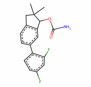 CC1(C)Cc2ccc(-c3ccc(F)cc3F)cc2C1OC(N)=O